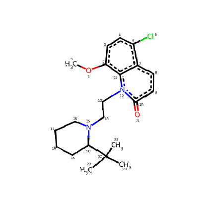 COc1ccc(Cl)c2ccc(=O)n(CCN3CC[CH]CC3C(C)(C)C)c12